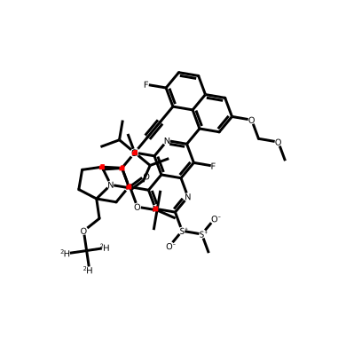 [2H]C([2H])([2H])OCC12CCC(CN(c3nc([S+]([O-])[S+](C)[O-])nc4c(F)c(-c5cc(OCOC)cc6ccc(F)c(C#C[Si](C(C)C)(C(C)C)C(C)C)c56)nc(OC)c34)C1)N2C(=O)OC(C)(C)C